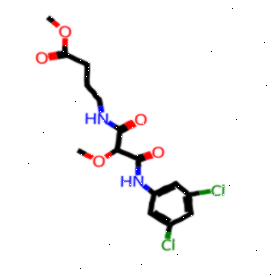 COC(=O)CCCNC(=O)C(OC)C(=O)Nc1cc(Cl)cc(Cl)c1